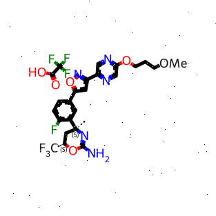 COCCCOc1cnc(-c2cc(-c3ccc(F)c([C@]4(C)C[C@@H](C(F)(F)F)OC(N)=N4)c3)on2)cn1.O=C(O)C(F)(F)F